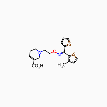 Cc1ccsc1C(=NOCCN1CCC=C(C(=O)O)C1)c1cccs1